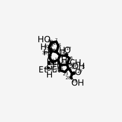 CC[SiH](CC)CC.C[C@]12CC[C@@H](O)C[C@H]1CC[C@@H]1[C@@H]2C(=O)C[C@@]2(C)[C@H]1CC[C@]2(O)C(=O)CO